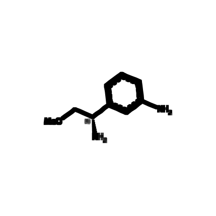 COC[C@@H](N)c1cccc(N)c1